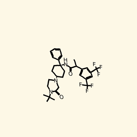 CC(C(=O)N[C@]1(c2ccccc2)CC[C@@H](N2CCN(C(C)(C)C)C(=O)C2)CC1)c1cc(C(F)(F)F)cc(C(F)(F)F)c1